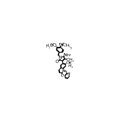 COc1ccc(CN2C(=N)C(C)=C(c3cc4ccc(=O)n(Cc5ccccn5)c4cc3OC)C2=O)cc1OC